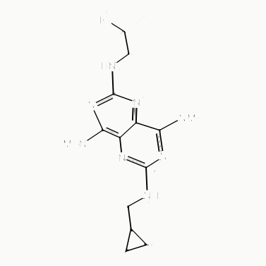 CNc1nc(NC[C@@H](C)O)nc2c(NC)nc(NCC3CC3)nc12